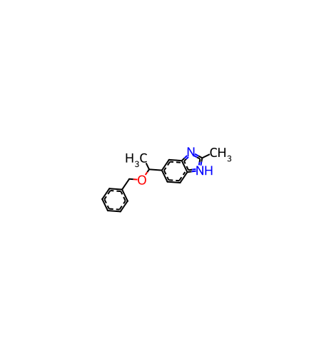 Cc1nc2cc(C(C)OCc3ccccc3)ccc2[nH]1